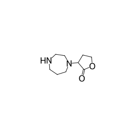 O=C1OCCC1N1CCCNCC1